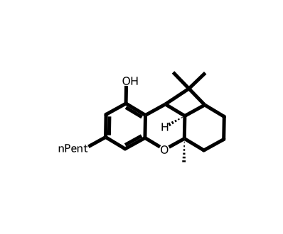 CCCCCc1cc(O)c2c(c1)O[C@]1(C)CCCC3[C@@H]1C2C3(C)C